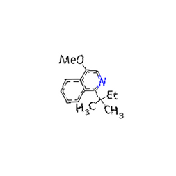 CCC(C)(C)c1ncc(OC)c2ccccc12